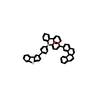 c1ccc(-c2ccccc2N(c2ccc(-c3ccc4oc5ccccc5c4c3)cc2)c2ccc(-c3ccc4ccc5ccc6ccccc6c5c4c3)cc2)cc1